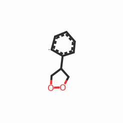 [c]1ccccc1C1COOC1